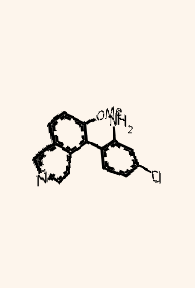 COc1ccc2cnccc2c1-c1ccc(Cl)cc1N